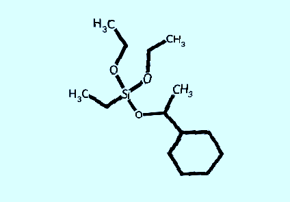 CCO[Si](CC)(OCC)OC(C)C1CCCCC1